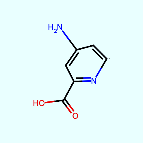 Nc1c[c]nc(C(=O)O)c1